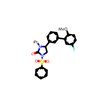 COc1ccc(F)cc1-c1cccc(C2CN(S(=O)(=O)c3ccccc3)C(=O)N2C(C)C)c1